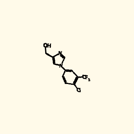 OCc1cn(-c2ccc(Cl)c(C(F)(F)F)c2)cn1